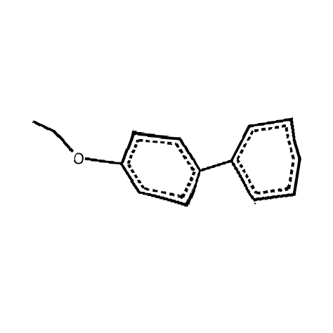 CCOc1ccc(-c2[c]cccc2)cc1